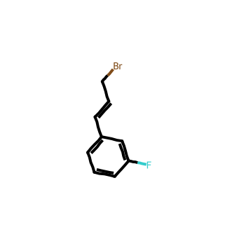 Fc1cccc(C=CCBr)c1